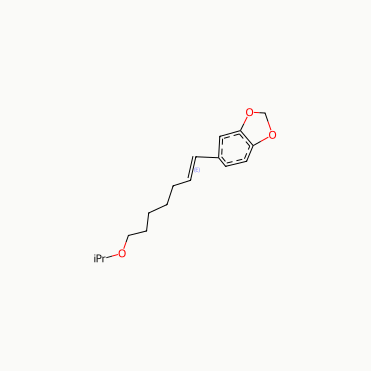 CC(C)OCCCCC/C=C/c1ccc2c(c1)OCO2